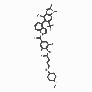 COC1CCC(NC/C=C/C(=O)Nc2c(F)cc(C(=O)n3ccc4c(-c5c(C(F)(F)F)cc6c(nc(C)n6C)c5Cl)cccc43)cc2F)CC1